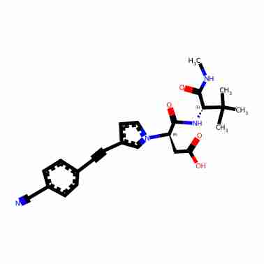 CNC(=O)[C@@H](NC(=O)[C@@H](CC(=O)O)n1ccc(C#Cc2ccc(C#N)cc2)c1)C(C)(C)C